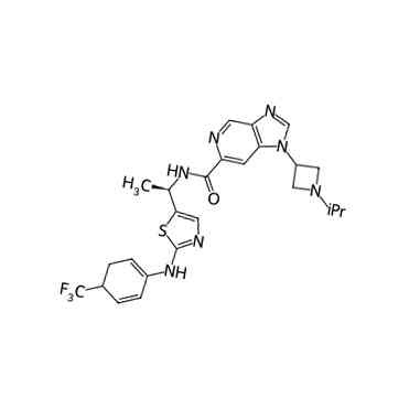 CC(C)N1CC(n2cnc3cnc(C(=O)N[C@H](C)c4cnc(NC5=CCC(C(F)(F)F)C=C5)s4)cc32)C1